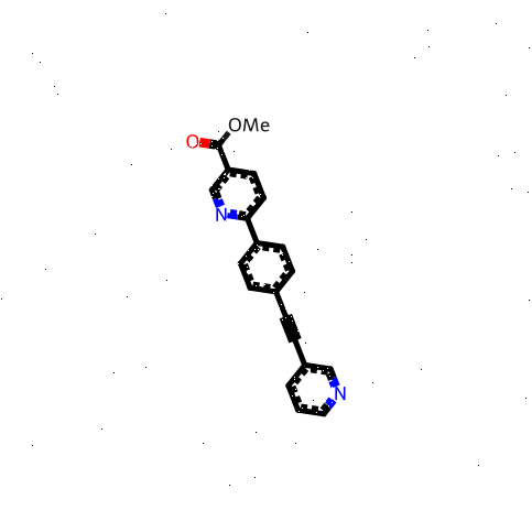 COC(=O)c1ccc(-c2ccc(C#Cc3cccnc3)cc2)nc1